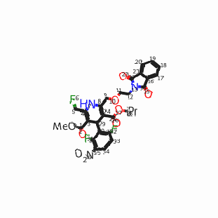 COC(=O)C1=C(CF)NC(COCCN2C(=O)c3ccccc3C2=O)=C(C(=O)OC(C)C)C1c1c(F)ccc([N+](=O)[O-])c1F